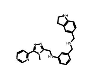 Cn1c(CNc2cccc(CNCc3ccc4c(c3)CCN4)c2)nnc1-c1ccncn1